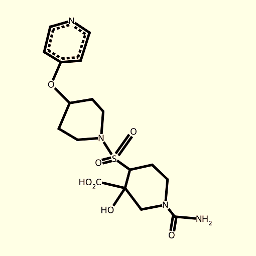 NC(=O)N1CCC(S(=O)(=O)N2CCC(Oc3ccncc3)CC2)C(O)(C(=O)O)C1